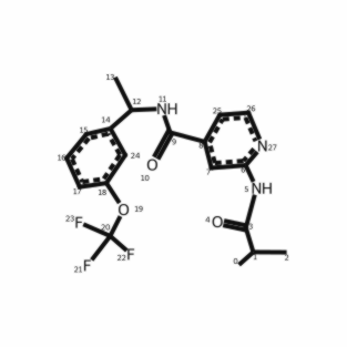 CC(C)C(=O)Nc1cc(C(=O)NC(C)c2cccc(OC(F)(F)F)c2)ccn1